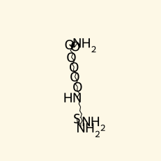 NOC(=O)CCOCCOCCOCCOCCNCCCCCC1SCC(N)C1N